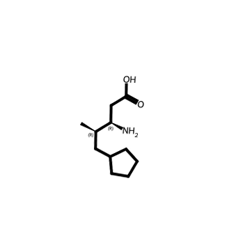 C[C@H](CC1CCCC1)[C@H](N)CC(=O)O